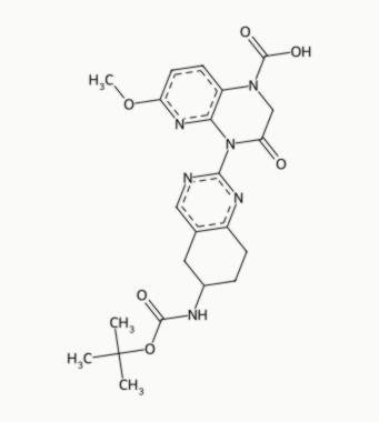 COc1ccc2c(n1)N(c1ncc3c(n1)CCC(NC(=O)OC(C)(C)C)C3)C(=O)CN2C(=O)O